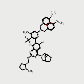 COc1ccc(CN(Cc2ccc(OC)cc2)c2cc(C)c(C(F)(F)F)c(-c3c(Cl)cc4c(N5CC6CCC(C5)N6)nc(OC[C@@H]5CCCN5C)nc4c3F)n2)cc1